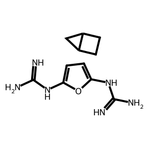 C1CC2CC12.N=C(N)Nc1ccc(NC(=N)N)o1